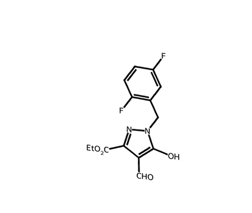 CCOC(=O)c1nn(Cc2cc(F)ccc2F)c(O)c1C=O